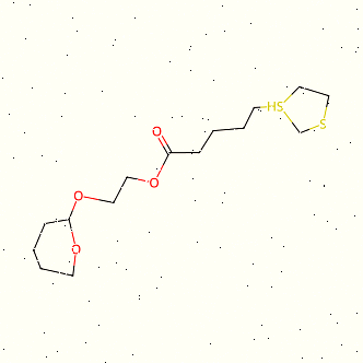 O=C(CCCC[SH]1CCSC1)OCCOC1CCCCO1